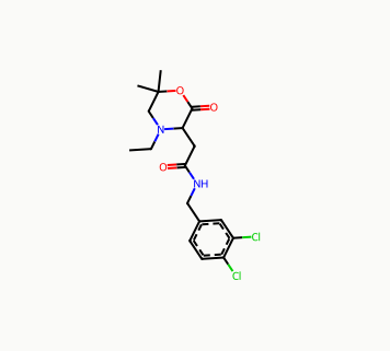 CCN1CC(C)(C)OC(=O)C1CC(=O)NCc1ccc(Cl)c(Cl)c1